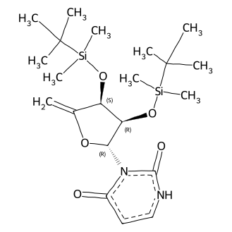 C=C1O[C@@H](n2c(=O)cc[nH]c2=O)[C@H](O[Si](C)(C)C(C)(C)C)[C@@H]1O[Si](C)(C)C(C)(C)C